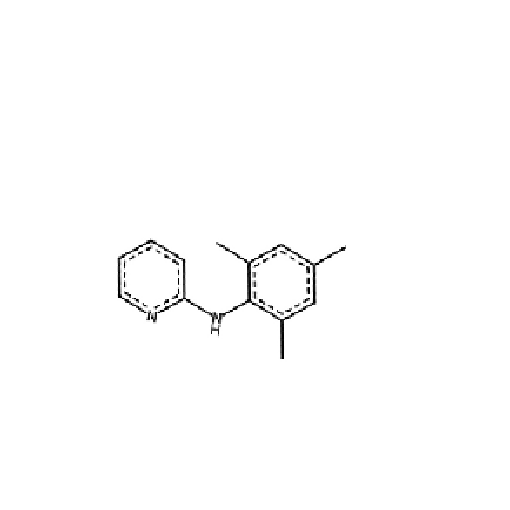 Cc1cc(C)c(Nc2ccccn2)c(C)c1